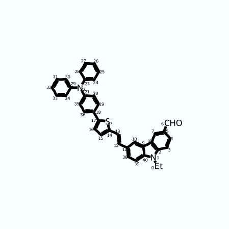 CCn1c2ccc(C=O)cc2c2cc(C=Cc3ccc(-c4ccc(N(c5ccccc5)c5ccccc5)cc4)s3)ccc21